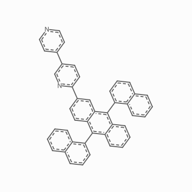 c1ccc2c(-c3c4ccccc4c(-c4cccc5ccccc45)c4cc(-c5ccc(-c6ccncc6)cn5)ccc34)cccc2c1